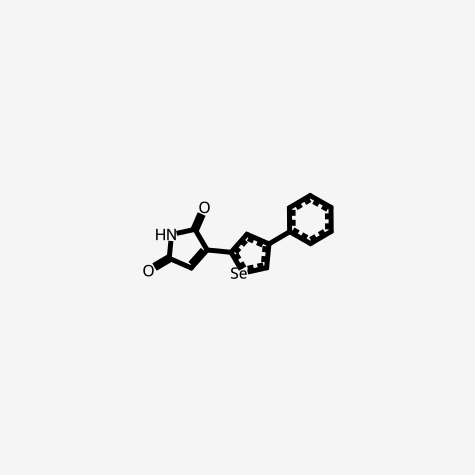 O=C1C=C(c2cc(-c3ccccc3)c[se]2)C(=O)N1